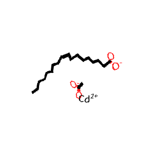 CC(=O)[O-].CCCCCCCC/C=C\CCCCCCCC(=O)[O-].[Cd+2]